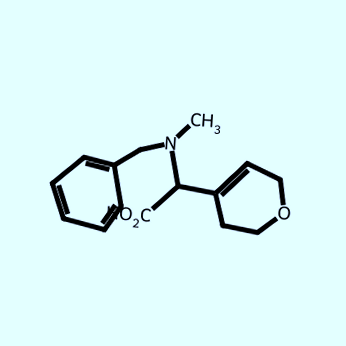 CN(Cc1ccccc1)C(C(=O)O)C1=CCOCC1